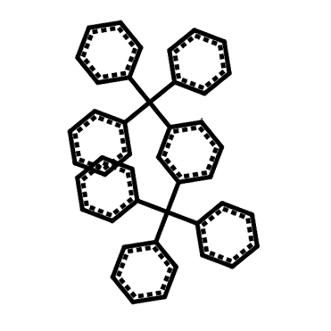 [c]1ccc(C(c2ccccc2)(c2ccccc2)c2ccccc2)cc1C(c1ccccc1)(c1ccccc1)c1ccccc1